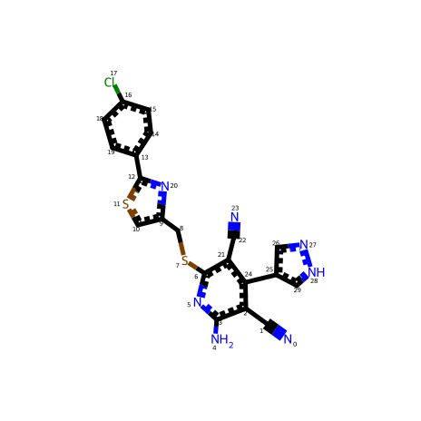 N#Cc1c(N)nc(SCc2csc(-c3ccc(Cl)cc3)n2)c(C#N)c1-c1cn[nH]c1